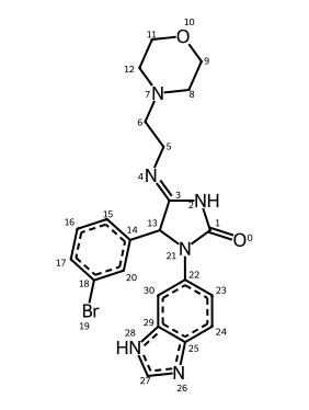 O=C1NC(=NCCN2CCOCC2)C(c2cccc(Br)c2)N1c1ccc2nc[nH]c2c1